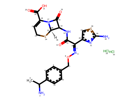 CC(N)c1ccc(CO/N=C(\C(=O)NC2C(=O)N3C(C(=O)O)=CCS[C@H]23)c2csc(N)n2)cc1.Cl.Cl